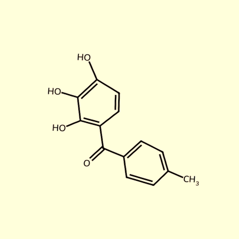 Cc1ccc(C(=O)c2ccc(O)c(O)c2O)cc1